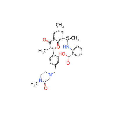 Cc1cc([C@@H](C)Nc2ccccc2C(=O)O)c2oc(-c3ccc(CN4CCN(C)C(=O)C4)cc3)c(C)c(=O)c2c1